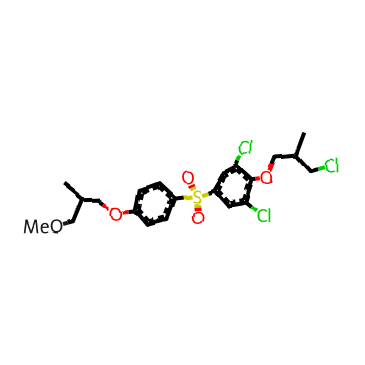 COCC(C)COc1ccc(S(=O)(=O)c2cc(Cl)c(OCC(C)CCl)c(Cl)c2)cc1